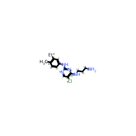 CCc1cc(Nc2ncc(Cl)c(NCCCN)n2)ccc1C